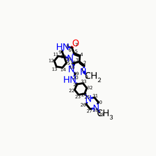 C=N/C=C1/C=C2C(=O)NCC3(CCCCC3)N2/C1=N/CNC1CCC(N2CCN(C)CC2)CC1